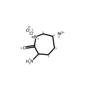 NC1CCCCNC1=O.[Cl-].[Cl-].[Ni+2]